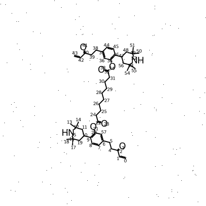 C=CC(=O)CCc1ccc(C2CC(C)(C)NC(C)(C)C2)c(OC(=O)CCCCCCCCC(=O)Oc2cc(CCC(=O)C=C)ccc2C2CC(C)(C)NC(C)(C)C2)c1